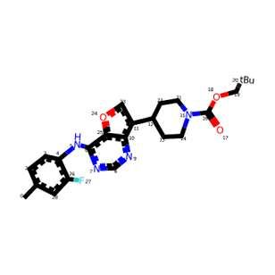 Cc1ccc(Nc2ncnc3c(C4CCN(C(=O)OCC(C)(C)C)CC4)coc23)c(F)c1